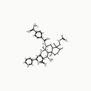 CC(=O)OCC1(C)C(C)CC[C@@]2(C)C1C[C@H](OC(=O)c1ccc(C(N)=O)cc1)[C@@]1(C)Oc3cc(-c4cccnc4)oc(=O)c3[C@H](O)C21